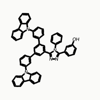 Oc1cccc(-c2nnc(-c3cc(-c4cccc(-n5c6ccccc6c6ccccc65)c4)cc(-c4cccc(-n5c6ccccc6c6ccccc65)c4)c3)n2-c2ccccc2)c1